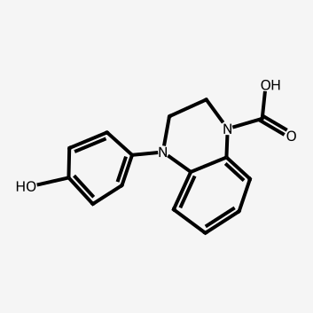 O=C(O)N1CCN(c2ccc(O)cc2)c2ccccc21